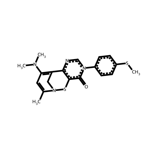 CSc1ccc(-n2cnc3c(c2=O)SN2CC3=C(N(C)C)C=C2C)cc1